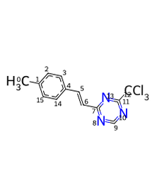 Cc1ccc(C=Cc2ncnc(C(Cl)(Cl)Cl)n2)cc1